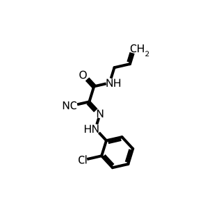 C=CCNC(=O)/C(C#N)=N/Nc1ccccc1Cl